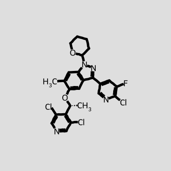 Cc1cc2c(cc1O[C@H](C)c1c(Cl)cncc1Cl)c(-c1cnc(Cl)c(F)c1)nn2C1CCCCO1